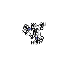 CCN(CC)c1cc(Nc2nc(Nc3cc(N(CC)CC)c(OC)cc3/N=N/c3sc4c(c3S(=O)(=O)O)CC(C)(C)CC4=O)nc(SCc3cccc(S(=O)(=O)O)c3)n2)c(/N=N/c2sc3c(c2S(=O)(=O)O)CC(C)(C)CC3=O)cc1OC